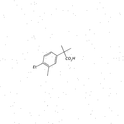 CCc1ccc(C(C)(C)C(=O)O)cc1I